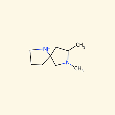 CC1CC2(CCCN2)CN1C